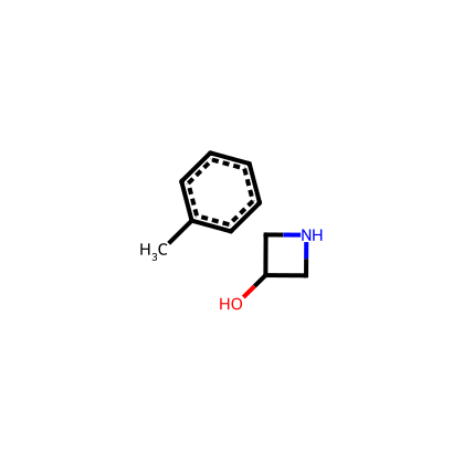 Cc1ccccc1.OC1CNC1